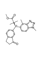 COC(=O)C(C)(C)[C@H](c1ccc2c(c1)C(=O)CC2)c1ccc2c(nnn2C)c1C